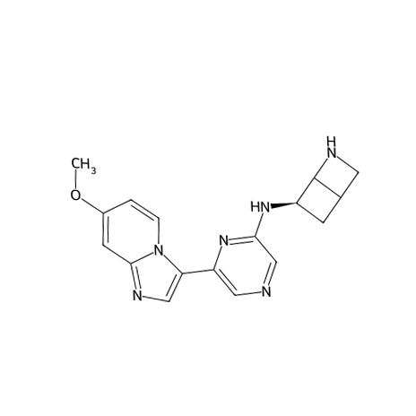 COc1ccn2c(-c3cncc(N[C@@H]4CC5CNC54)n3)cnc2c1